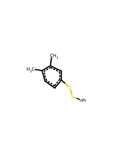 CCCSSc1ccc(C)c(C)c1